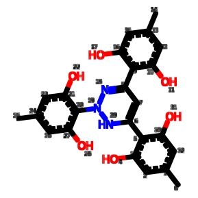 Cc1cc(O)c(C2=CC(c3c(O)cc(C)cc3O)=NN(c3c(O)cc(C)cc3O)N2)c(O)c1